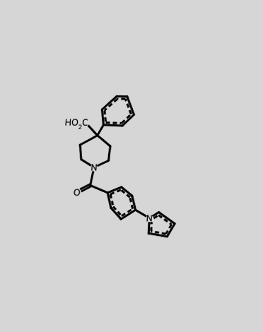 O=C(c1ccc(-n2cccc2)cc1)N1CCC(C(=O)O)(c2ccccc2)CC1